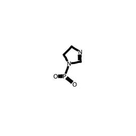 O=P(=O)N1C=NCC1